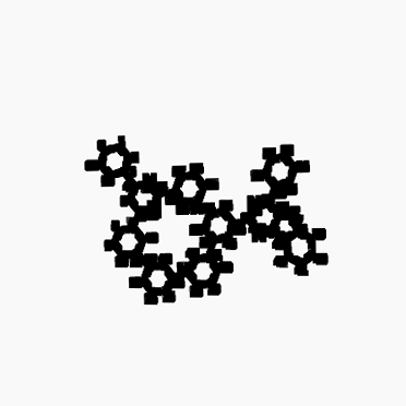 c1ccc(-c2cc(-c3cccc(-c4cccc(-c5cccc(-c6cccc(-c7nc(-c8ccccc8)c8sc9ccccc9c8n7)c6)c5)c4)c3)nc(-c3ccccc3)n2)cc1